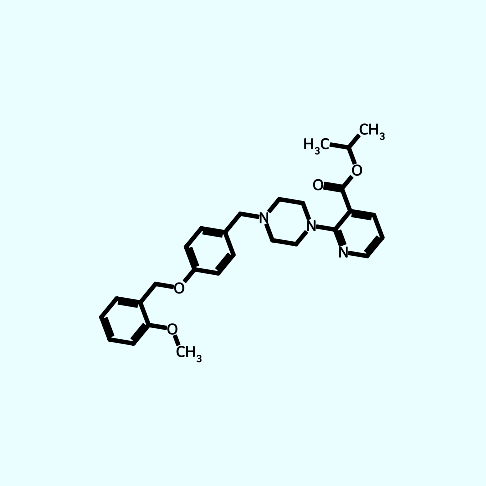 COc1ccccc1COc1ccc(CN2CCN(c3ncccc3C(=O)OC(C)C)CC2)cc1